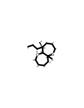 CCC[C@]1(C)CCCSC2(C)CCCCOC21